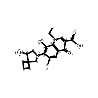 CCn1cc(C(=O)O)c(=O)c2cc(F)c(N3CC(N)C4(CCC4)C3)c(Cl)c21